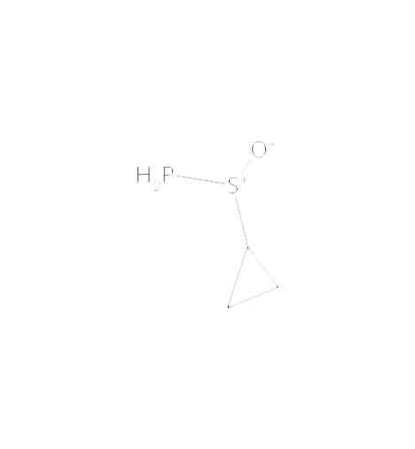 [O-][S+](P)C1CC1